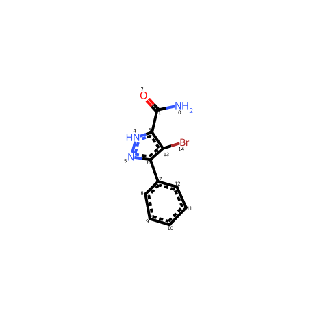 NC(=O)c1[nH]nc(-c2ccccc2)c1Br